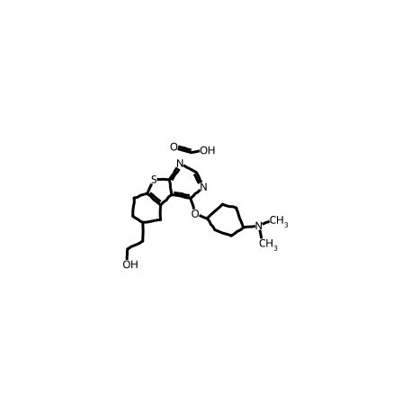 CN(C)C1CCC(Oc2ncnc3sc4c(c23)CC(CCO)CC4)CC1.O=CO